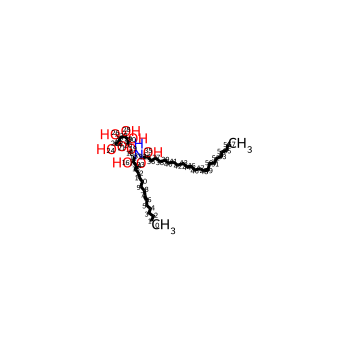 CCCCCC/C=C/CCCCC/C=C/[C@@H](O)[C@H](CO[C@@H]1OC(CO)[C@@H](O)[C@@H](O)C1O)NC(=O)[C@H](O)CCCCCCCCCCCC/C=C\CCCCCCCC